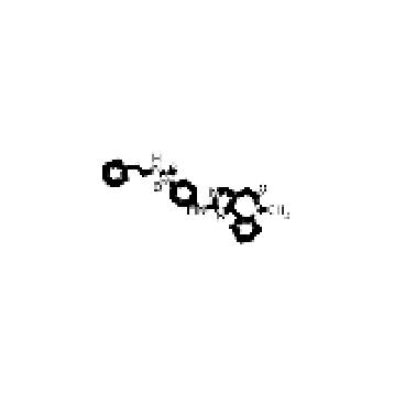 CN1C(=O)Cc2cnc(Nc3ccc(S(=O)(=O)NCCc4ccccc4)cc3)nc2-c2ccccc21